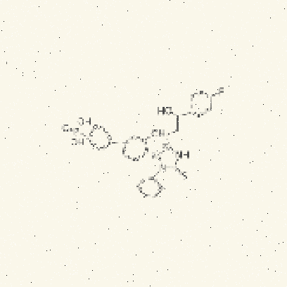 O=P(O)(O)c1ccc(-c2ccc([C@@H]3[C@H](CCC(O)c4ccc(F)cc4)NC(=S)N3c3ccccc3)c(O)c2)cc1